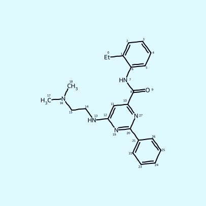 CCc1ccccc1NC(=O)c1cc(NCCN(C)C)nc(-c2ccccc2)n1